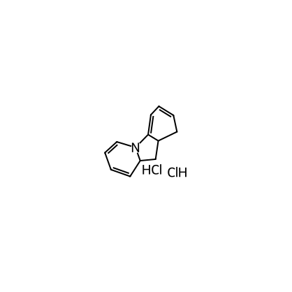 C1=CCC2CC3C=CC=CN3C2=C1.Cl.Cl